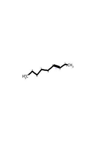 C[CH]/C=C/CCCCC